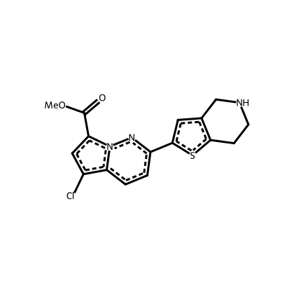 COC(=O)c1cc(Cl)c2ccc(-c3cc4c(s3)CCNC4)nn12